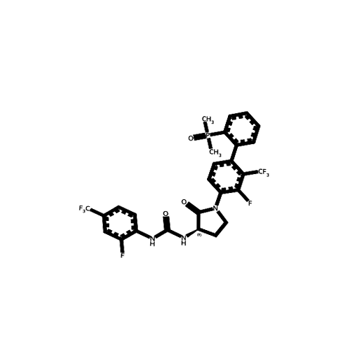 CP(C)(=O)c1ccccc1-c1ccc(N2CC[C@@H](NC(=O)Nc3ccc(C(F)(F)F)cc3F)C2=O)c(F)c1C(F)(F)F